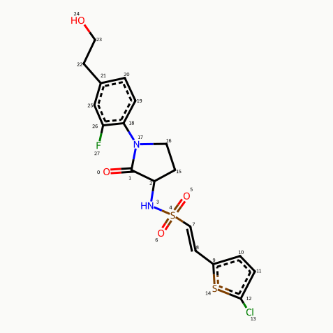 O=C1C(NS(=O)(=O)/C=C/c2ccc(Cl)s2)CCN1c1ccc(CCO)cc1F